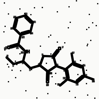 CCC(CC1CC(=O)C(c2c(C)cc(C)cc2C)C1=O)NC(=O)c1ccccc1